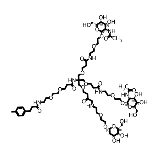 CC(=O)N[C@H]1[C@H](OCCOCCNC(=O)CCOCC(COCCC(=O)CNCCOCCO[C@H]2C[C@@H](O)[C@@H](O)[C@@H](CO)O2)(COCCC(=O)NCCOCCO[C@@H]2O[C@H](CO)[C@H](O)[C@H](O)[C@H]2NC(C)=O)NC(=O)CCOCCOCCNC(=O)CCc2ccc(I)cc2)O[C@H](CO)[C@H](O)[C@@H]1O